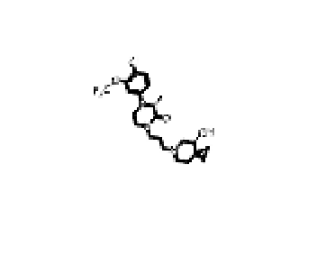 C[C@H]1C(=O)N(CCCN2CCC3(CC3)[C@H](O)C2)CCN1c1ccc(Cl)c(OC(F)(F)F)c1